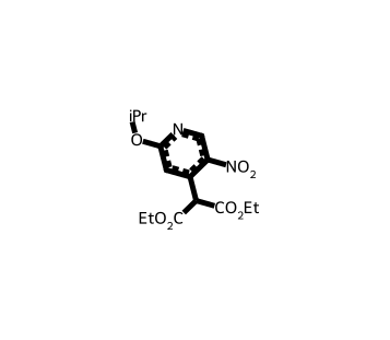 CCOC(=O)C(C(=O)OCC)c1cc(OC(C)C)ncc1[N+](=O)[O-]